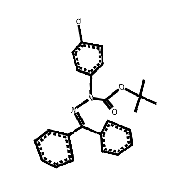 CC(C)(C)OC(=O)N(N=C(c1ccccc1)c1ccccc1)c1ccc(Cl)cc1